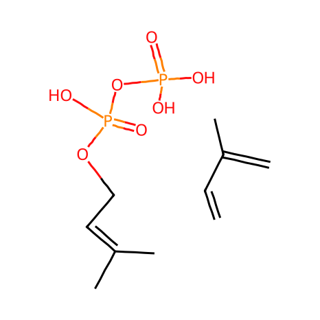 C=CC(=C)C.CC(C)=CCOP(=O)(O)OP(=O)(O)O